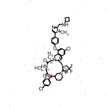 C[C@H]1C(=O)N[C@@H](CO)C(=O)N[C@@]2(Cc3ccc(Cl)cc3)CCCN(C2)C(=O)[C@H](CC(F)(F)F)CC(=O)N1Cc1c(F)cc(Cl)cc1Oc1ccc(-c2cnc(CNC3CCC3)n2C)cc1